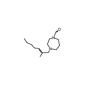 CCCCC=C(C)CN1CCCN(C=O)CC1